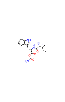 CC[C@H](C)[C@H](N)C(=O)N[C@@H](Cc1c[nH]c2ccccc12)C(=O)OC(N)=O